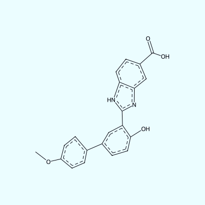 COc1ccc(-c2ccc(O)c(-c3nc4cc(C(=O)O)ccc4[nH]3)c2)cc1